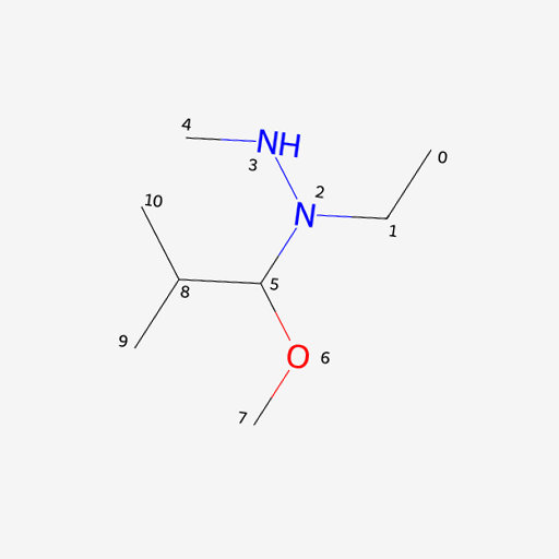 CCN(NC)C(OC)C(C)C